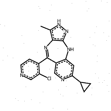 Cc1[nH]nc2c1N=C(c1ccncc1Cl)c1cnc(C3CC3)cc1N2